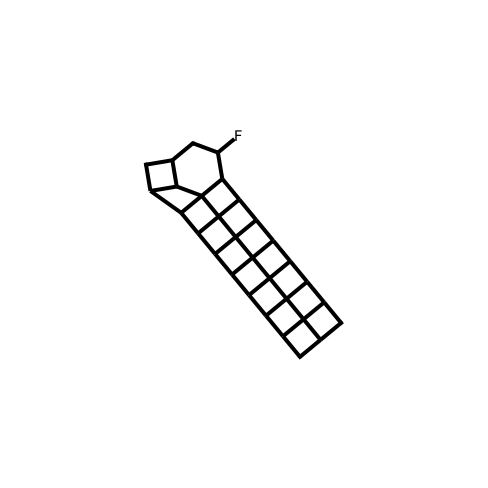 FC1CC2CC3C2C24C1C1C5C6C7C8C9CC%10CC%11C%12C%13C%14C%15C(C32)C14C5%15C6%14C7%13C8%12C%109%11